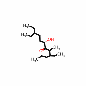 CCCC(CC)C(C)C(=O)[C@@H](O)CCC(CC)CC